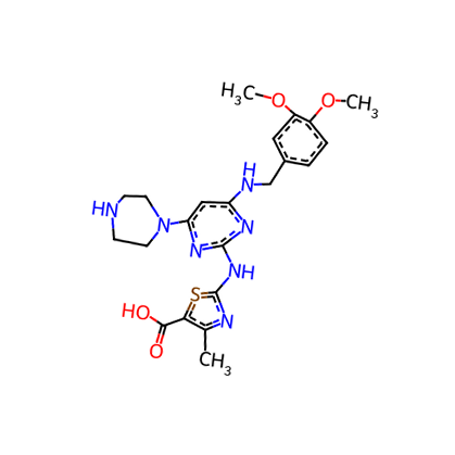 COc1ccc(CNc2cc(N3CCNCC3)nc(Nc3nc(C)c(C(=O)O)s3)n2)cc1OC